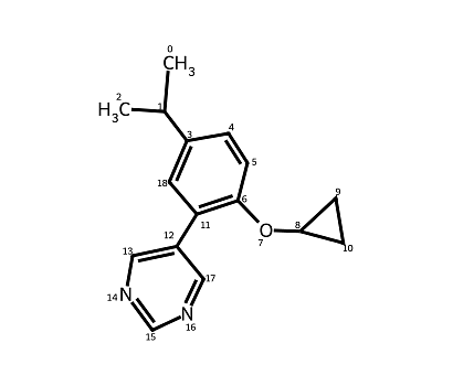 CC(C)c1ccc(OC2CC2)c(-c2cncnc2)c1